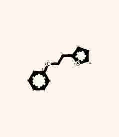 [CH](COc1ccccc1)c1cccs1